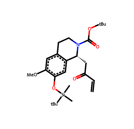 C=CC(=O)C[C@@H]1c2cc(O[Si](C)(C)C(C)(C)C)c(OC)cc2CCN1C(=O)OC(C)(C)C